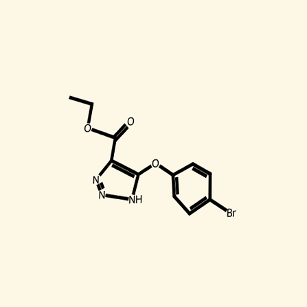 CCOC(=O)c1nn[nH]c1Oc1ccc(Br)cc1